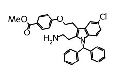 COC(=O)c1ccc(OCCc2c(CCN)n(C(c3ccccc3)c3ccccc3)c3ccc(Cl)cc23)cc1